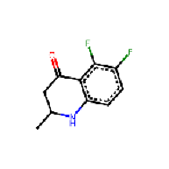 CC1CC(=O)c2c(ccc(F)c2F)N1